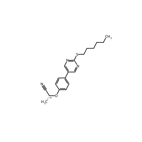 CCCCCCSc1ncc(-c2ccc(O[C@H](C)C#N)cc2)cn1